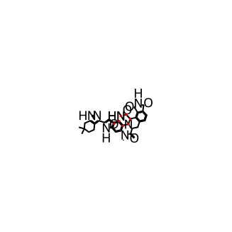 CN(C(=O)C(Cc1ccc2c(c1C1CCC(=O)NC1=O)C(=O)NC2=O)N1CCNCC1)c1ccc2cc(-c3n[nH]c4c3CCC(C)(C)C4)[nH]c2c1